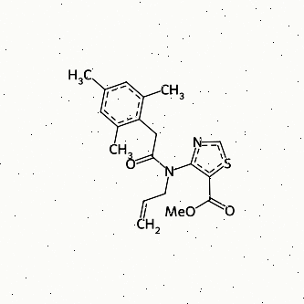 C=CCN(C(=O)Cc1c(C)cc(C)cc1C)c1ncsc1C(=O)OC